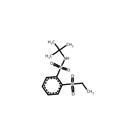 CCS(=O)(=O)c1ccccc1S(=O)(=O)NC(C)(C)C